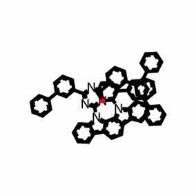 c1ccc(-c2cccc(-c3nc(-c4cccc(-c5ccccc5)c4)nc(-n4c5ccccc5c5ccc6c7ccccc7n(-c7ccccc7-c7cc(-c8ccccc8)cc(-c8ccccc8)c7)c6c54)n3)c2)cc1